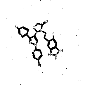 O=C1COC(c2cn(-c3ccc(Br)cc3)nc2-c2ccc(F)cc2)N1CCc1cc2c(cc1F)NNN2